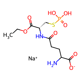 CCOC(=O)[C@H](CSP(=O)(O)O)NC(=O)CCC(N)C(=O)[O-].[Na+]